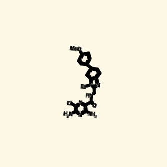 CCn1c(CNC(=O)c2nc(Cl)c(N)nc2N)nc2ccc(-c3ccc(OC)cc3)cc21